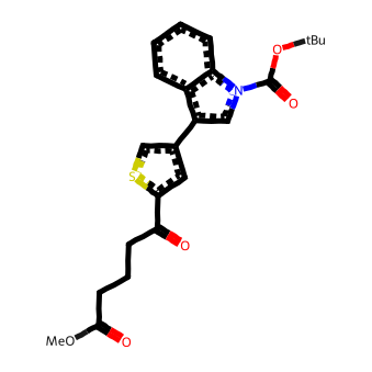 COC(=O)CCCC(=O)c1cc(-c2cn(C(=O)OC(C)(C)C)c3ccccc23)cs1